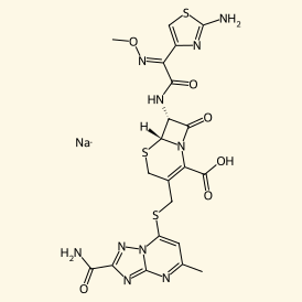 CON=C(C(=O)N[C@@H]1C(=O)N2C(C(=O)O)=C(CSc3cc(C)nc4nc(C(N)=O)nn34)CS[C@H]12)c1csc(N)n1.[Na]